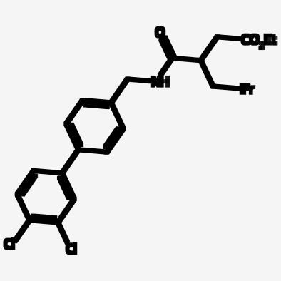 CCOC(=O)CC(CC(C)C)C(=O)NCc1ccc(-c2ccc(Cl)c(Cl)c2)cc1